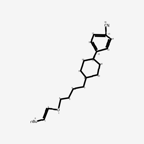 CCCC/C=C/OCCCCC1CCC(c2ccc(C#N)cc2)CC1